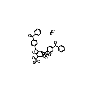 O=C(c1ccccc1)c1ccc(C2Oc3c2c2c(S(=O)(=O)[O-])c(c3S(=O)(=O)[O-])OC2c2ccc(C(=O)c3ccccc3)cc2)cc1.[K+].[K+]